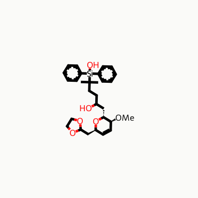 CO[C@H]1C=C[C@@H](CC2OCCO2)O[C@@H]1CC(O)CCC(C)(C)[Si](O)(c1ccccc1)c1ccccc1